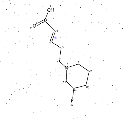 O=C(O)/C=C/CCN1CCCC(F)C1